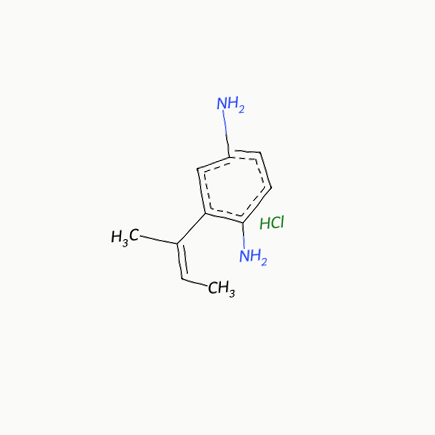 C/C=C(/C)c1cc(N)ccc1N.Cl